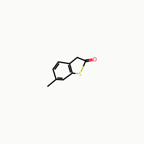 Cc1ccc2c(c1)SC(=O)C2